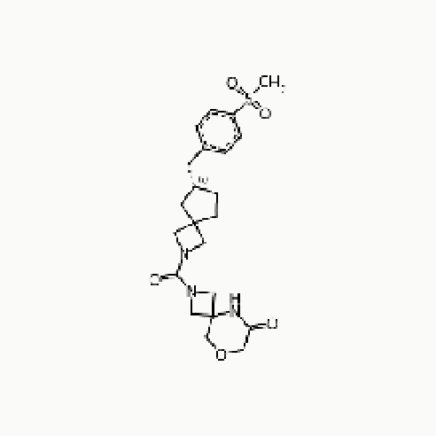 CS(=O)(=O)c1ccc(C[C@@H]2CCC3(C2)CN(C(=O)N2CC4(COCC(=O)N4)C2)C3)cc1